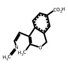 C=N/C=C\C1=C(C)OCc2cc(C(=O)O)ccc21